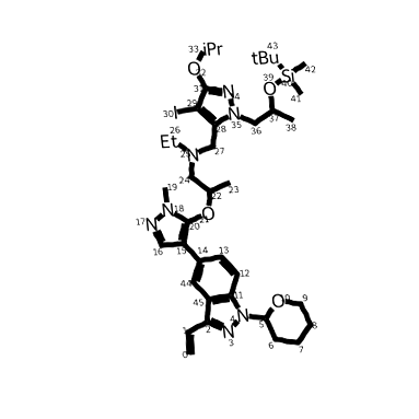 C=Cc1nn(C2CCCCO2)c2ccc(-c3cnn(C)c3OC(C)CN(CC)Cc3c(I)c(OC(C)C)nn3CC(C)O[Si](C)(C)C(C)(C)C)cc12